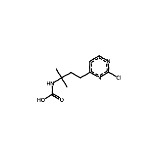 CC(C)(CCc1ccnc(Cl)n1)NC(=O)O